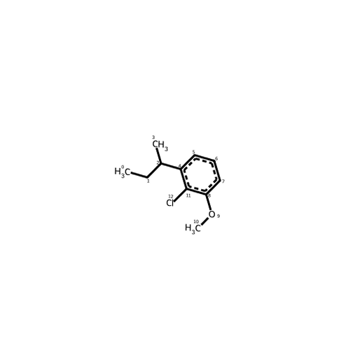 CCC(C)c1cccc(OC)c1Cl